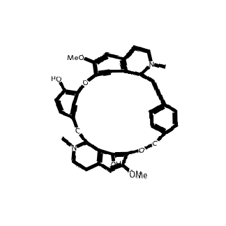 COc1cc2c3cc1Oc1cc(ccc1O)CC1c4c(cc(OC)c(c4O)OCc4ccc(cc4)CC3N(C)CC2)CCN1C